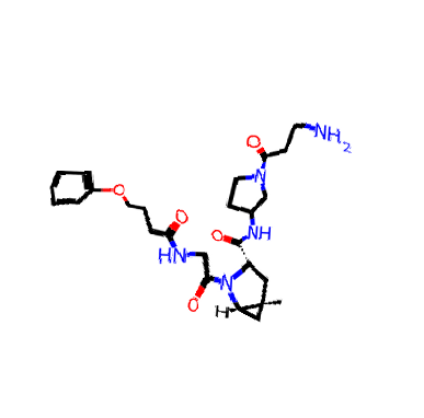 C[C@@]12C[C@@H]1N(C(=O)CNC(=O)CCCOc1ccccc1)[C@H](C(=O)NC1CCN(C(=O)CCN)C1)C2